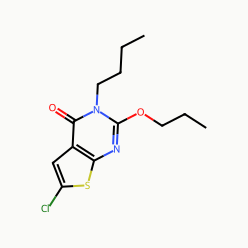 CCCCn1c(OCCC)nc2sc(Cl)cc2c1=O